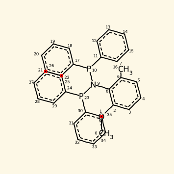 COc1cccc(C)c1N(P(c1ccccc1)c1ccccc1)P(c1ccccc1)c1ccccc1